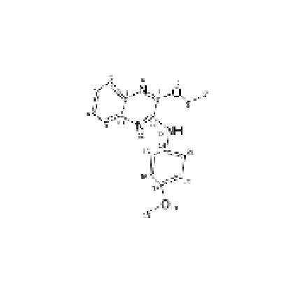 CCOc1nc2ccccc2nc1Nc1ccc(OC)cc1